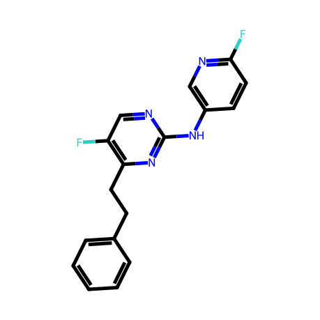 Fc1ccc(Nc2ncc(F)c(CCc3ccccc3)n2)cn1